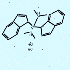 C[SiH](C)[Zr]([CH]1C=Cc2ccccc21)([CH]1C=Cc2ccccc21)[SiH](C)C.Cl.Cl